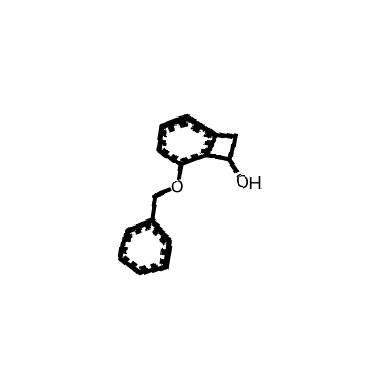 OC1Cc2cccc(OCc3ccccc3)c21